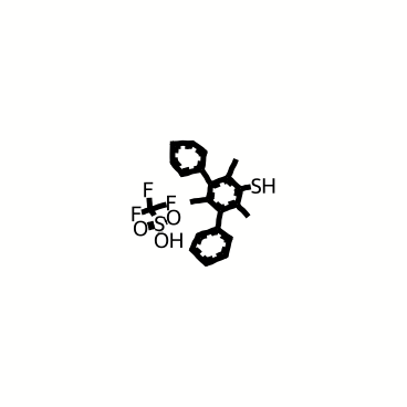 Cc1c(S)c(C)c(-c2ccccc2)c(C)c1-c1ccccc1.O=S(=O)(O)C(F)(F)F